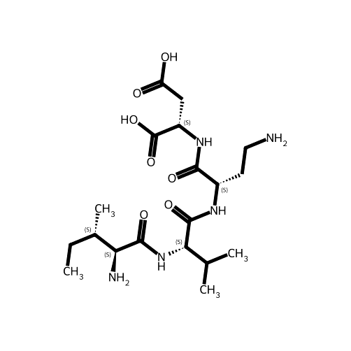 CC[C@H](C)[C@H](N)C(=O)N[C@H](C(=O)N[C@@H](CCN)C(=O)N[C@@H](CC(=O)O)C(=O)O)C(C)C